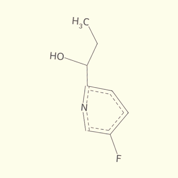 CCC(O)c1ccc(F)cn1